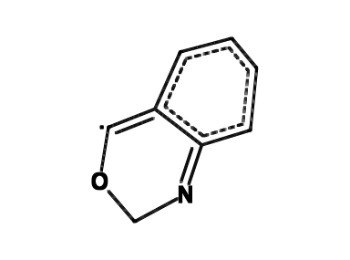 [C]1=c2ccccc2=NCO1